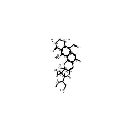 COC(CO)C12OC3c4c(C)cc5c(C=O)c6c(c(O)c5c4OC(O)(C3O1)C21CO1)C(=O)[C@H](C)C[C@@H]6C